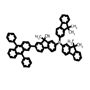 CC1(C)c2ccccc2-c2ccc(N(c3ccc4c(c3)C(C)(C)c3ccccc3-4)c3ccc4c(c3)C(C)(C#N)c3cc(-c5ccc6c(-c7ccccc7)c7ccccc7c(-c7ccccc7)c6c5)ccc3-4)cc21